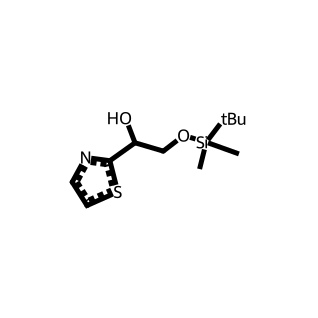 CC(C)(C)[Si](C)(C)OCC(O)c1nccs1